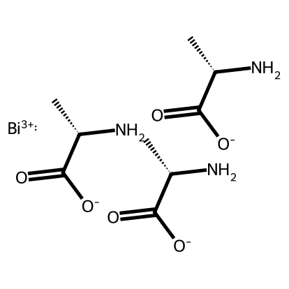 C[C@H](N)C(=O)[O-].C[C@H](N)C(=O)[O-].C[C@H](N)C(=O)[O-].[Bi+3]